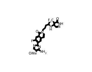 COc1cnc(-c2cc3ccn(CCCC(C)Nc4cn[nH]c(=O)c4C(F)(F)F)c(=O)c3cc2F)nc1N